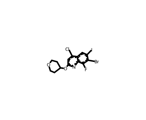 Fc1c(Br)c(I)cc2c(Cl)cc(OC3CCOCC3)nc12